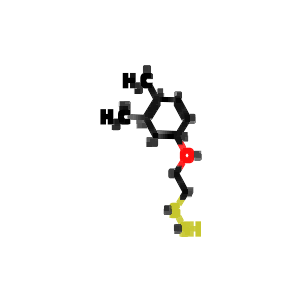 Cc1ccc(OCCSS)cc1C